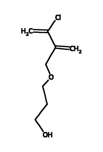 C=C(Cl)C(=C)COCCCO